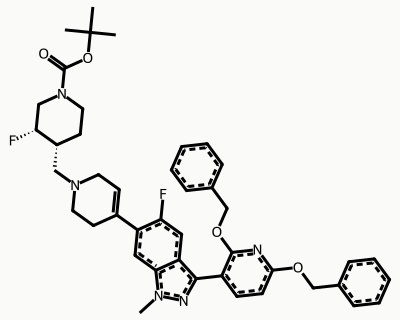 Cn1nc(-c2ccc(OCc3ccccc3)nc2OCc2ccccc2)c2cc(F)c(C3=CCN(C[C@H]4CCN(C(=O)OC(C)(C)C)C[C@H]4F)CC3)cc21